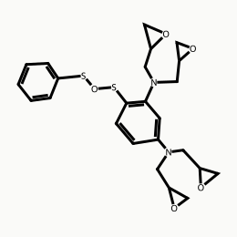 c1ccc(SOSc2ccc(N(CC3CO3)CC3CO3)cc2N(CC2CO2)CC2CO2)cc1